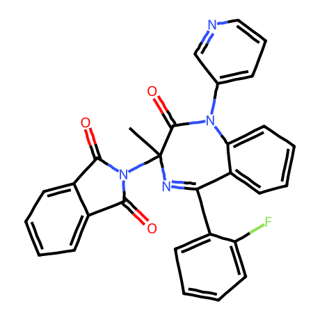 CC1(N2C(=O)c3ccccc3C2=O)N=C(c2ccccc2F)c2ccccc2N(c2cccnc2)C1=O